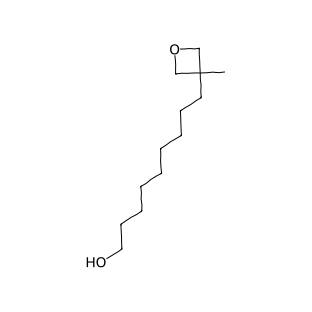 CC1(CCCCCCCCCO)COC1